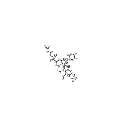 CCOC(OCC)[C@H](CC(=O)OC(C)(C)C)NS(=O)(=O)c1ccc(NC(=O)CCCN(C)C)cc1OCc1ccccc1